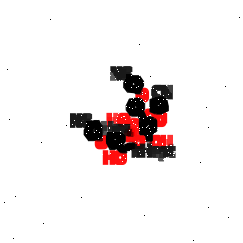 CCCCCCCC(C)(OB(c1ccc(Oc2ccc(C#N)cc2)cc1CO)C(C)(CCCCCC)OB(O)c1ccc(Oc2ccc(C#N)cc2)cc1CO)B(O)c1ccc(Oc2ccc(C#N)cc2)cc1CO